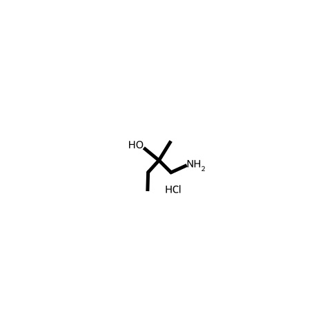 CCC(C)(O)CN.Cl